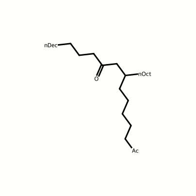 CCCCCCCCCCCCCC(=O)CC(CCCCCCCC)CCCCCC(C)=O